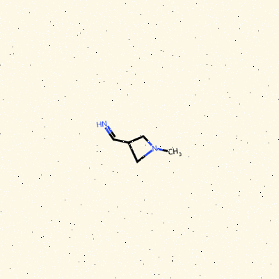 CN1CC(C=N)C1